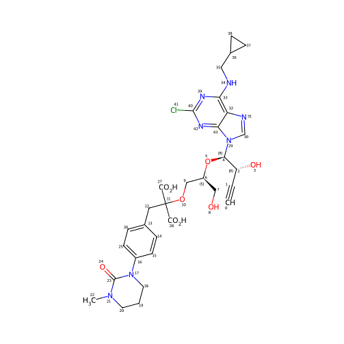 C#C[C@@H](O)[C@@H](O[C@@H](CO)COC(Cc1ccc(N2CCCN(C)C2=O)cc1)(C(=O)O)C(=O)O)n1cnc2c(NCC3CC3)nc(Cl)nc21